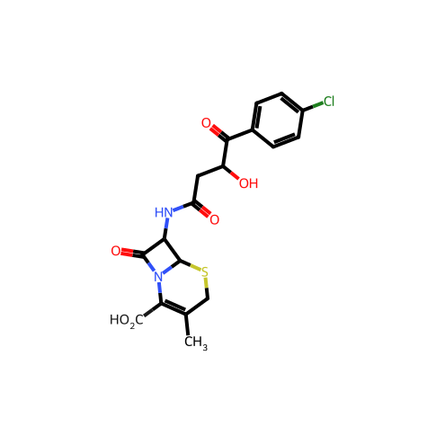 CC1=C(C(=O)O)N2C(=O)C(NC(=O)CC(O)C(=O)c3ccc(Cl)cc3)C2SC1